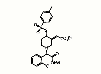 CCOC(=O)/C=C1\CN(C(C(=O)OC)c2ccccc2Cl)CCC1SS(=O)(=O)c1ccc(C)cc1